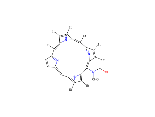 CCC1=C(CC)c2nc1c(CC)c1[nH]c(c(CC)c3nc(cc4[nH]c(c(CC)c4CC)c2N(C=O)CO)C=C3)c(CC)c1CC